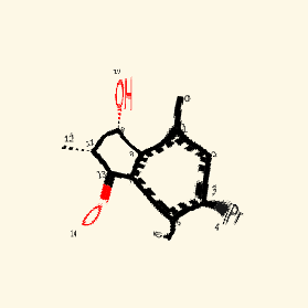 Cc1cc(C(C)C)c(C)c2c1[C@@H](O)[C@@H](C)C2=O